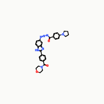 O=C(N=[N+]=Nc1ccc2[nH]c(-c3ccc(C(=O)N4CCOCC4)cc3)nc2c1)c1ccc(N2CCCC2)cc1